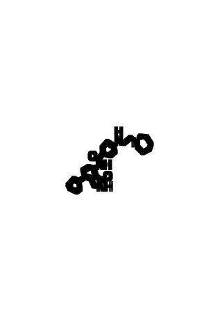 O=C(Nc1ccc(-c2ccccc2)c2c1C(=O)NC2)c1ccc(NCCN2CCCCCC2)cc1